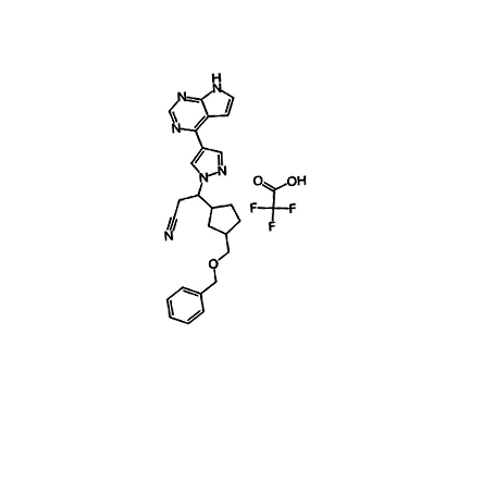 N#CCC(C1CCC(COCc2ccccc2)C1)n1cc(-c2ncnc3[nH]ccc23)cn1.O=C(O)C(F)(F)F